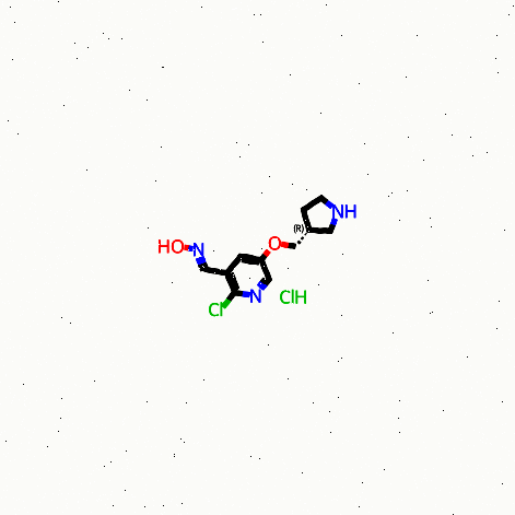 Cl.ON=Cc1cc(OC[C@@H]2CCNC2)cnc1Cl